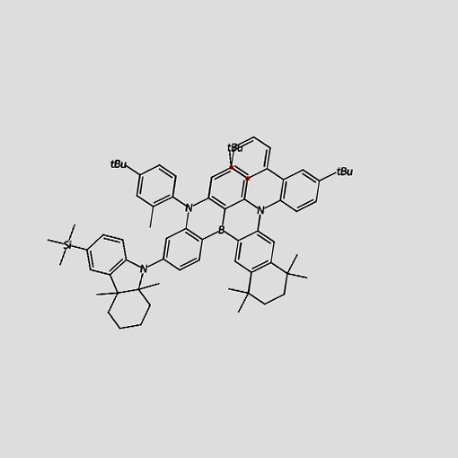 Cc1cc(C(C)(C)C)ccc1N1c2cc(N3c4ccc([Si](C)(C)C)cc4C4(C)CCCCC34C)ccc2B2c3cc4c(cc3N(c3ccc(C(C)(C)C)cc3-c3ccccc3)c3cc(C(C)(C)C)cc1c32)C(C)(C)CCC4(C)C